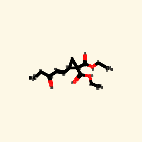 CCOC(=O)C1(C(=O)OCC)CC1/C=C/C(=O)CC